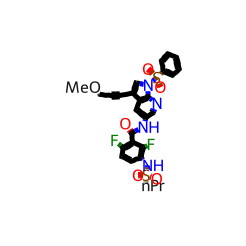 CCCS(=O)(=O)Nc1ccc(F)c(C(=O)Nc2cnc3c(c2)c(C#CCOC)cn3S(=O)(=O)c2ccccc2)c1F